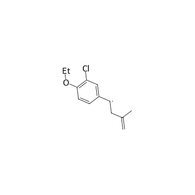 C=C(C)C[CH]c1ccc(OCC)c(Cl)c1